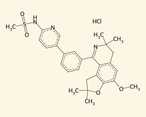 COc1cc2c(c3c1OC(C)(C)C3)C(c1cccc(-c3ccc(NS(C)(=O)=O)nc3)c1)=NC(C)(C)C2.Cl